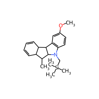 COc1ccc2c(c1)C1C3C=CC=CC3C(C)C1N2C[Si](C)(C)C